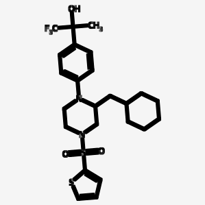 CC(O)(c1ccc(N2CCN(S(=O)(=O)c3cccs3)CC2CC2CCCCC2)cc1)C(F)(F)F